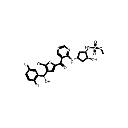 COS(=O)(=O)N[C@@H]1C[C@@H](Nc2ncncc2C(=O)c2cc([C@H](O)c3cc(Cl)ccc3Cl)c(Cl)s2)C[C@@H]1O